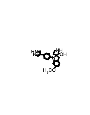 COc1ccc2c(c1)N(c1ccc(-c3cn[nH]c3)cc1)C1(CCNC1O)C2